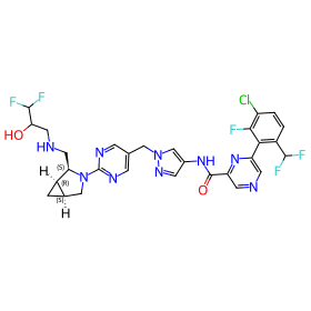 O=C(Nc1cnn(Cc2cnc(N3C[C@H]4C[C@H]4[C@H]3CNCC(O)C(F)F)nc2)c1)c1cncc(-c2c(C(F)F)ccc(Cl)c2F)n1